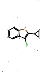 Brc1c(C2CC2)sc2ccccc12